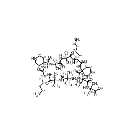 CC(C)(N)C(=O)NC(C)(C)C(=O)N[C@H](CCCCN)C(=O)NC1(C(=O)NC(C)(C)C(=O)NC(C)(C)C(=O)N[C@H](CCCCN)C(=O)NC2(C(=O)NC(C)(C)C(=O)NC(C)(C)C(=O)O)CCNCC2)CCNCC1